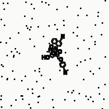 N#Cc1ccc(OCCC23C[C@H](O)C(O2)[C@@H]2C(=O)N(c4ccc(C#N)c5ccccc45)C(=O)[C@@H]23)cc1